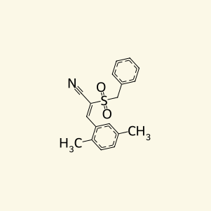 Cc1ccc(C)c(/C=C(/C#N)S(=O)(=O)Cc2ccccc2)c1